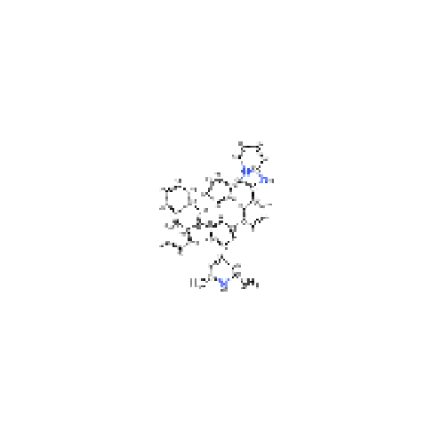 Cc1cc(-c2cc(-c3cccc(-c4nc5ccccn5c4-c4ccccc4)c3)cc(-c3cc4ccccc4c4ccccc34)c2)cc(C)n1